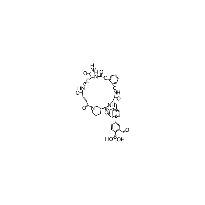 NC(=O)[C@@H]1CCNC(=O)/C=C/C(=O)N2CCC[C@](Cc3ccccc3)(C2)C(=O)N[C@@H](Cc2ccc(-c3ccc(B(O)O)c(C=O)c3)cc2)C(=O)NCc2ccccc2CC(=O)N1